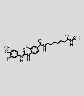 O=C(CCCCCCNC(=O)c1ccc(NC(=S)Nc2ccc(OC(F)(F)F)c(F)c2)c(F)c1)NO